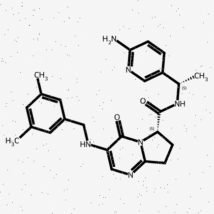 Cc1cc(C)cc(CNc2cnc3n(c2=O)[C@H](C(=O)N[C@@H](C)c2ccc(N)nc2)CC3)c1